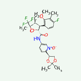 COc1c([C@H]2[C@H](C(=O)Nc3ccc([C@H]4COC(C)(C)O4)[n+]([O-])c3)O[C@@](C)(C(F)(F)F)[C@H]2C)ccc(F)c1C